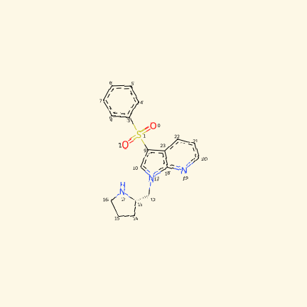 O=S(=O)(c1ccccc1)c1cn(C[C@@H]2CCCN2)c2ncccc12